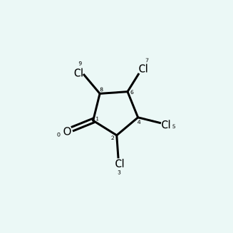 O=C1C(Cl)C(Cl)C(Cl)C1Cl